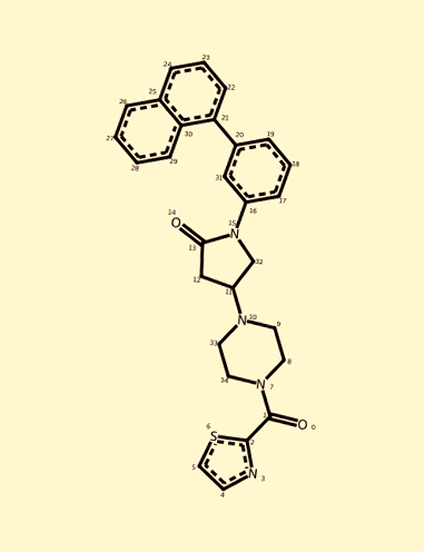 O=C(c1nccs1)N1CCN(C2CC(=O)N(c3cccc(-c4cccc5ccccc45)c3)C2)CC1